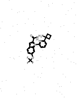 NC(=O)c1cc2ccc(OC(F)(F)F)cc2n1-c1cccc(C2(N)CCC2)n1